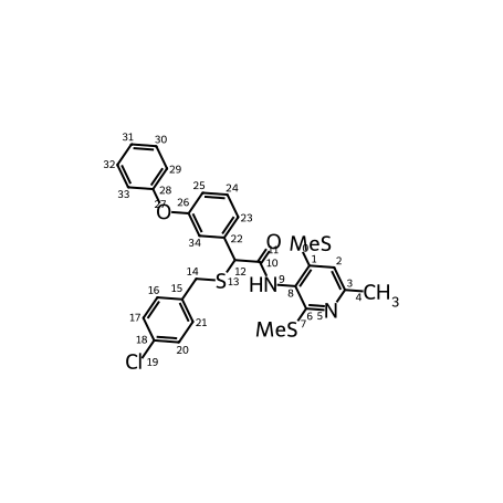 CSc1cc(C)nc(SC)c1NC(=O)C(SCc1ccc(Cl)cc1)c1cccc(Oc2ccccc2)c1